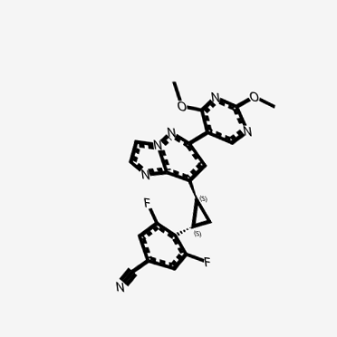 COc1ncc(-c2cc([C@H]3C[C@@H]3c3c(F)cc(C#N)cc3F)c3nccn3n2)c(OC)n1